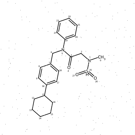 CN(CC(=O)N(Cc1ccc(C2CCCCC2)cc1)c1ccccc1)[SH](=O)=O